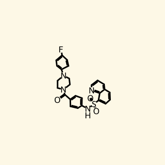 O=C(c1ccc(NS(=O)(=O)c2cccc3cccnc23)cc1)N1CCN(c2ccc(F)cc2)CC1